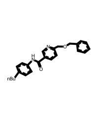 CCCCc1ccc(NC(=O)c2ccc(COCc3ccccc3)nc2)cc1